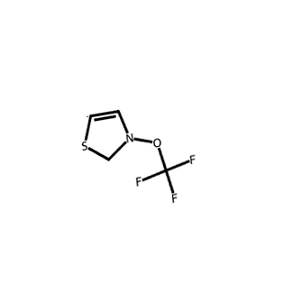 FC(F)(F)ON1C=[C]SC1